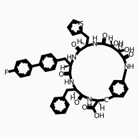 O=C(O)[C@@H]1Cc2ccc(cc2)NC(=O)[C@H](O)[C@@H](O)C(=O)N[C@H](Cc2cccs2)C(=O)N[C@@H](Cc2ccc(-c3ccc(F)cc3)cc2)C(=O)N[C@H](Cc2ccccc2)C(=O)N1